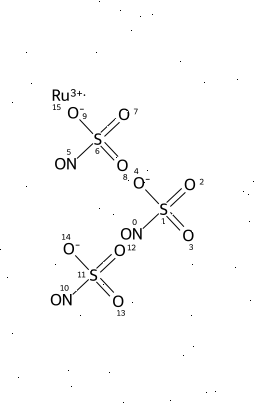 O=NS(=O)(=O)[O-].O=NS(=O)(=O)[O-].O=NS(=O)(=O)[O-].[Ru+3]